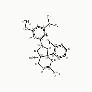 COc1cc(C(F)F)nc(N2C[C@@H]3CN=C(N)S[C@@]3(c3ccccc3F)C2)n1